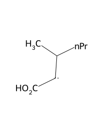 CCCC(C)[CH]C(=O)O